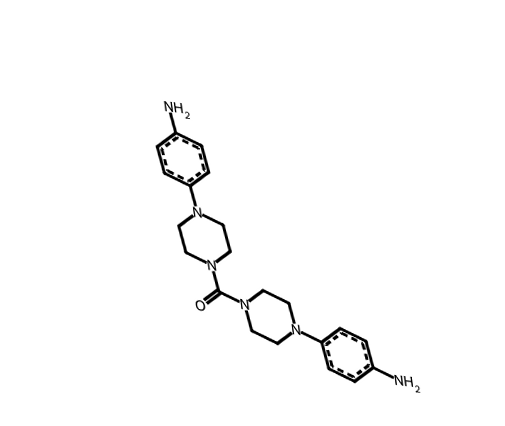 Nc1ccc(N2CCN(C(=O)N3CCN(c4ccc(N)cc4)CC3)CC2)cc1